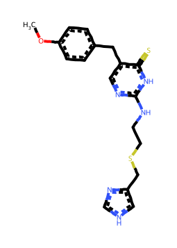 COc1ccc(Cc2cnc(NCCSCc3c[nH]cn3)[nH]c2=S)cc1